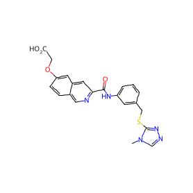 Cn1cnnc1SCc1cccc(NC(=O)c2cc3cc(OCC(=O)O)ccc3cn2)c1